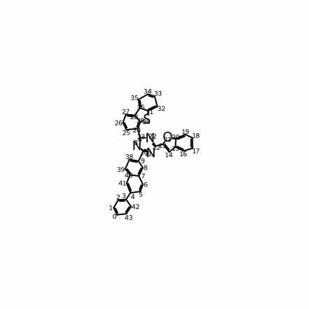 c1ccc(-c2ccc3cc(-c4nc(-c5cc6ccccc6o5)nc(-c5cccc6c5sc5ccccc56)n4)ccc3c2)cc1